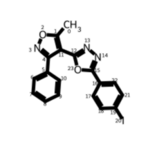 Cc1onc(-c2ccccc2)c1-c1nnc(-c2ccc(I)cc2)o1